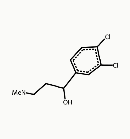 CNCCC(O)c1ccc(Cl)c(Cl)c1